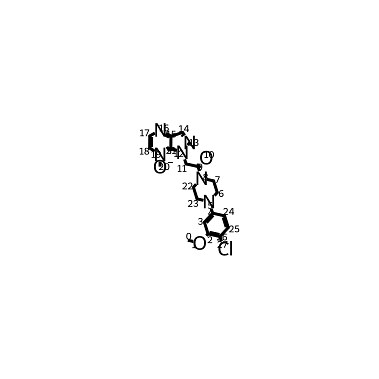 COc1cc(N2CCN(C(=O)Cn3ncc4ncc[n+]([O-])c43)CC2)ccc1Cl